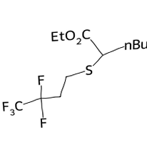 CCCCC(SCCC(F)(F)C(F)(F)F)C(=O)OCC